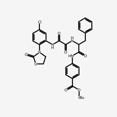 CC(C)(C)OC(=O)c1ccc(NC(=O)C(Cc2ccccc2)NC(=O)C(=O)Nc2cc(Cl)ccc2N2CCOC2=O)cc1